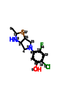 CC1NC2CN(c3cc(O)c(Cl)cc3F)CC2S1